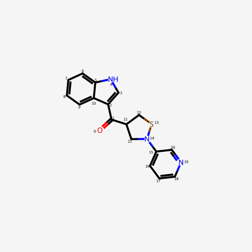 O=C(c1c[nH]c2ccccc12)C1CSN(c2cccnc2)C1